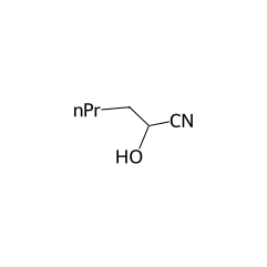 CCCCC(O)C#N